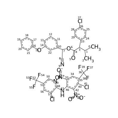 CC(C)C(C(=O)OC(C#N)c1cccc(Oc2ccccc2)c1)c1ccc(Cl)cc1.O=[N+]([O-])c1cc(C(F)(F)F)c(Cl)c([N+](=O)[O-])c1Nc1ncc(C(F)(F)F)cc1Cl